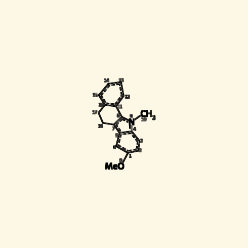 COc1ccc2c(c1)c1c(n2C)-c2ccccc2CC1